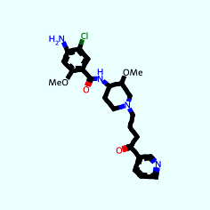 COc1cc(N)c(Cl)cc1C(=O)NC1CCN(CCCC(=O)c2cccnc2)CC1OC